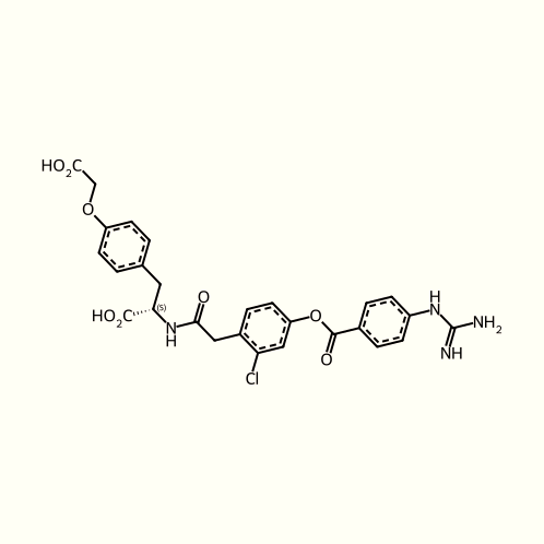 N=C(N)Nc1ccc(C(=O)Oc2ccc(CC(=O)N[C@@H](Cc3ccc(OCC(=O)O)cc3)C(=O)O)c(Cl)c2)cc1